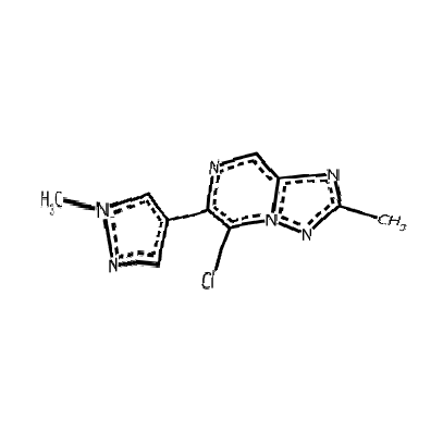 Cc1nc2cnc(-c3cnn(C)c3)c(Cl)n2n1